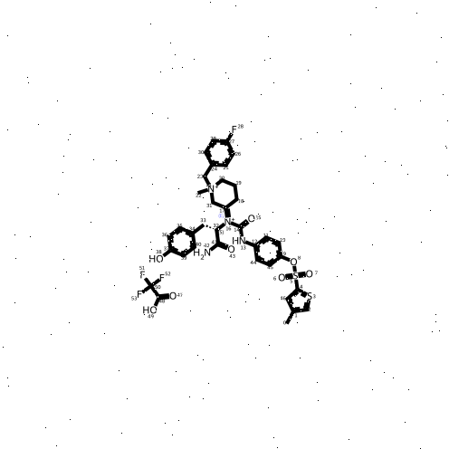 Cc1csc(S(=O)(=O)Oc2ccc(NC(=O)/[N+](=C3\CCC[N+](C)(Cc4ccc(F)cc4)C3)[C@@H](Cc3ccc(O)cc3)C(N)=O)cc2)c1.O=C(O)C(F)(F)F